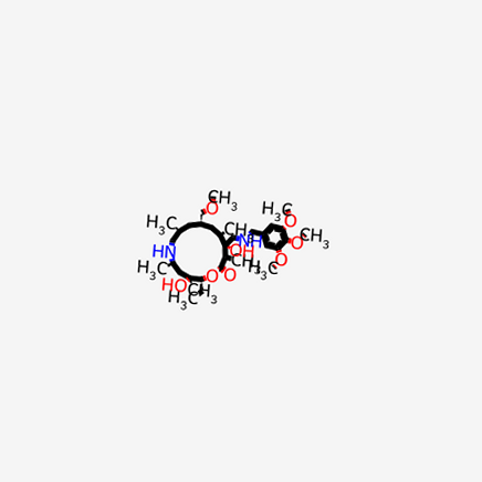 CC[C@H]1OC(=O)C(C)[C@@](O)(CNCc2cc(OC)c(OC)c(OC)c2)[C@H](C)C[C@@H](COC)C[C@@H](C)CN[C@H](C)C[C@]1(C)O